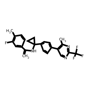 C=C(NC1(c2ccc(-c3cnc(C(F)(F)F)nc3C)cc2)CC1)c1ccc(C)c(F)c1